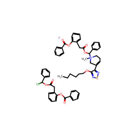 CCCCCCOc1nsnc1C1=CCC[N+](C)(C(OC(=O)Cc2ccccc2OC(=O)c2ccccc2)c2ccccc2)C1.O=C(Cc1ccccc1OC(=O)c1ccccc1)OC(Cl)c1ccccc1.[I-]